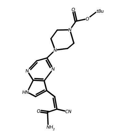 CC(C)(C)OC(=O)N1CCN(c2cnc3[nH]cc(/C=C(/C#N)C(N)=O)c3n2)CC1